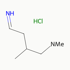 CNCC(C)CC=N.Cl